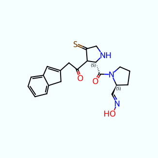 O=C(CC1=Cc2ccccc2C1)C1C(=S)CN[C@@H]1C(=O)N1CCC[C@H]1C=NO